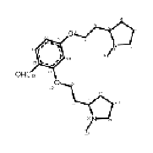 CN1CCCC1CCOc1ccc(C=O)c(OCCC2CCCN2C)c1